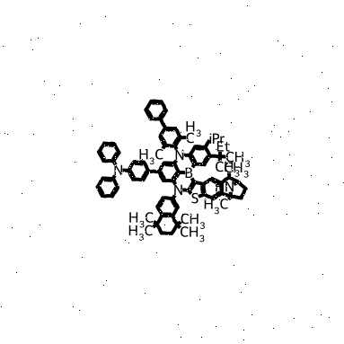 CCC(C)(C)c1cc2c(cc1C(C)C)N(c1c(C)cc(-c3ccccc3)cc1C)c1cc(-c3ccc(N(c4ccccc4)c4ccccc4)cc3)cc3c1B2c1c(sc2cc4c(cc12)C(C)C1CCC4(C)N1)N3c1ccc2c(c1)C(C)(C)CCC2(C)C